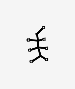 Cl[C]C(Cl)(Cl)C(Cl)(Cl)C(Cl)Cl